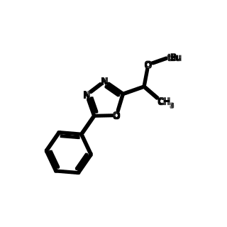 CC(OC(C)(C)C)c1nnc(-c2ccccc2)o1